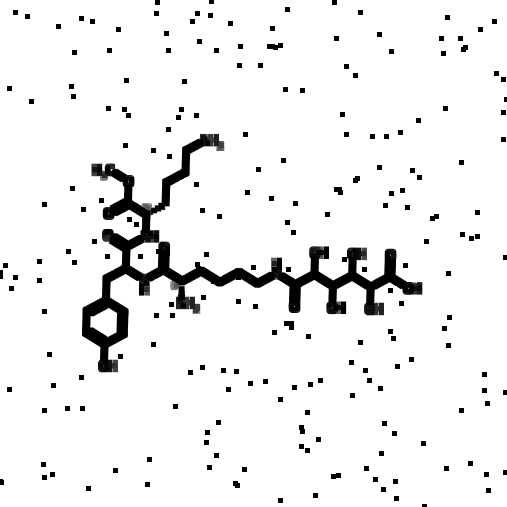 COC(=O)[C@H](CCCCN)NC(=O)C(Cc1ccc(O)cc1)NC(=O)[C@@H](N)CCCCNC(=O)C(O)C(O)C(O)C(O)C(=O)O